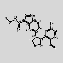 C=Cc1ncc(F)cc1C1CCCN1c1ccn2ncc(C(=O)OCC)c2n1